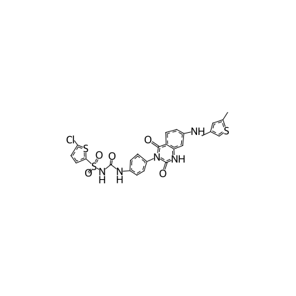 Cc1cc(CNc2ccc3c(=O)n(-c4ccc(NC(=O)NS(=O)(=O)c5ccc(Cl)s5)cc4)c(=O)[nH]c3c2)cs1